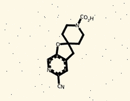 N#Cc1cc2c(cn1)OC1(CCN(C(=O)O)CC1)C2